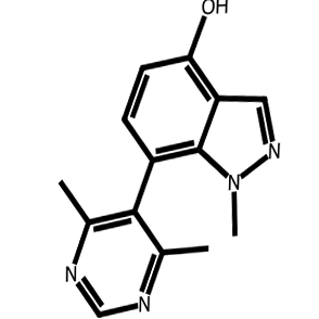 Cc1ncnc(C)c1-c1ccc(O)c2cnn(C)c12